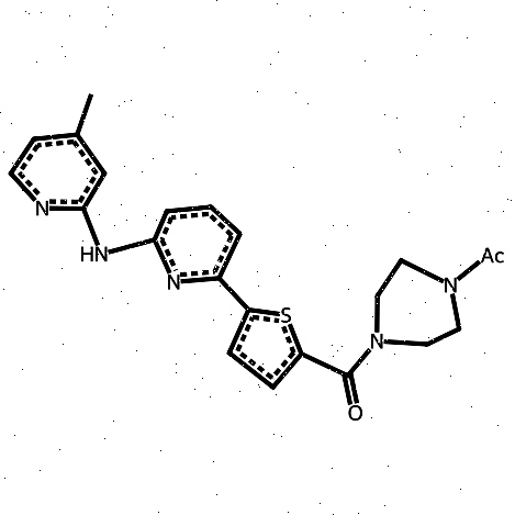 CC(=O)N1CCN(C(=O)c2ccc(-c3cccc(Nc4cc(C)ccn4)n3)s2)CC1